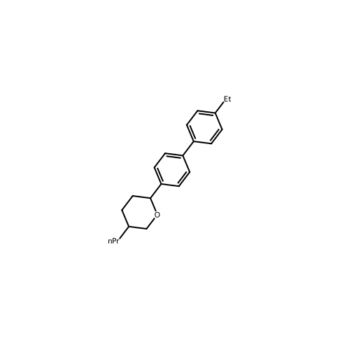 CCCC1CCC(c2ccc(-c3ccc(CC)cc3)cc2)OC1